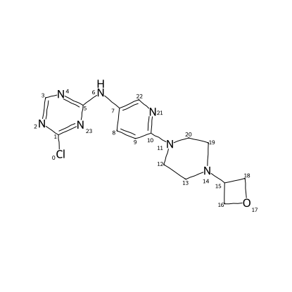 Clc1ncnc(Nc2ccc(N3CCN(C4COC4)CC3)nc2)n1